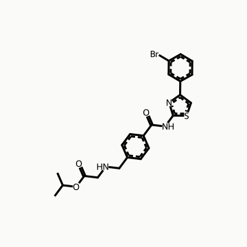 CC(C)OC(=O)CNCc1ccc(C(=O)Nc2nc(-c3cccc(Br)c3)cs2)cc1